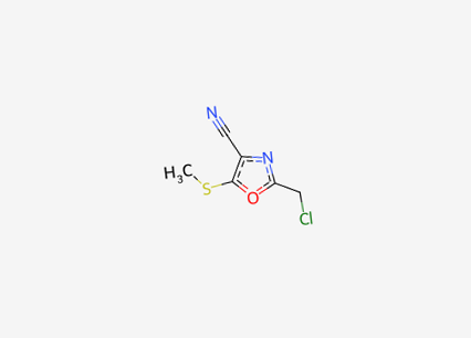 CSc1oc(CCl)nc1C#N